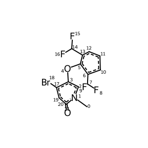 Cn1cc(Oc2c(C(F)F)cccc2C(F)F)c(Br)cc1=O